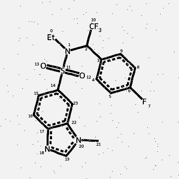 CCN(C(c1ccc(F)cc1)C(F)(F)F)S(=O)(=O)c1ccc2ncn(C)c2c1